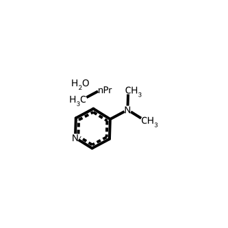 CCCC.CN(C)c1ccncc1.O